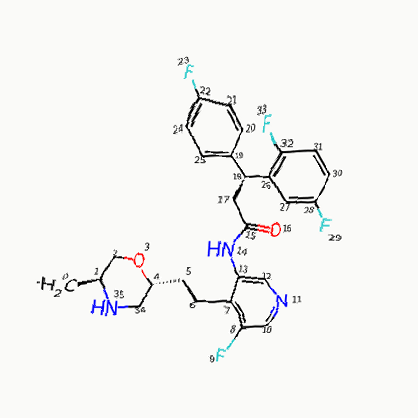 [CH2][C@H]1CO[C@H](CCc2c(F)cncc2NC(=O)C[C@@H](c2ccc(F)cc2)c2cc(F)ccc2F)CN1